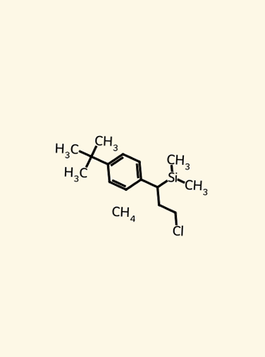 C.C[Si](C)C(CCCl)c1ccc(C(C)(C)C)cc1